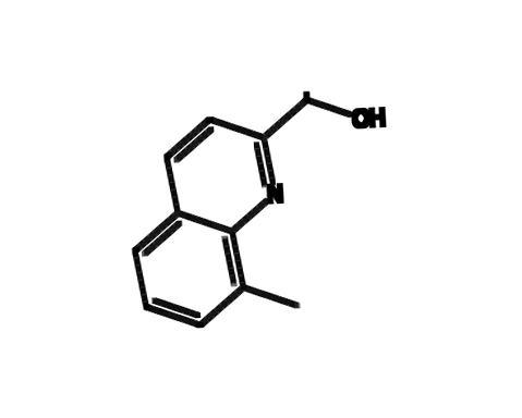 Cc1cccc2ccc([CH]O)nc12